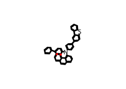 c1ccc(-c2ccc(N(c3ccc(-c4ccc5sc6ccccc6c5c4)cc3)c3cccc4ccc5ccccc5c34)cc2)cc1